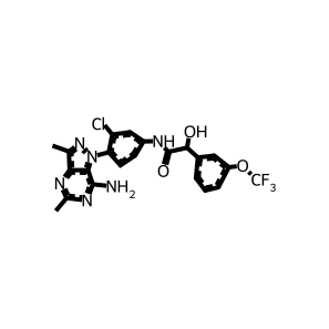 Cc1nc(N)c2c(n1)c(C)nn2-c1ccc(NC(=O)C(O)c2cccc(OC(F)(F)F)c2)cc1Cl